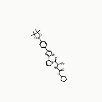 CC(C)C(NC(=O)OC1CCCC1)C(=O)N1CC=C[C@H]1c1nc(-c2ccc(B3OC(C)(C)C(C)(C)O3)cc2)c[nH]1